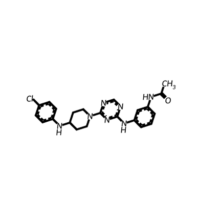 CC(=O)Nc1cccc(Nc2ncnc(N3CCC(Nc4ccc(Cl)cc4)CC3)n2)c1